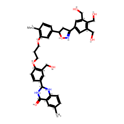 COc1ccc(C2CC(c3cc(CO)c(CO)c(CO)c3)=NO2)cc1OCCCOc1ccc(C2NC(=O)c3cc(C)ccc3N2)cc1CO